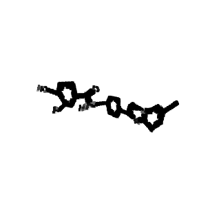 Cc1ccc2nc(-c3ccc(NC(=O)c4ccc(O)c(F)c4)cc3)cn2c1